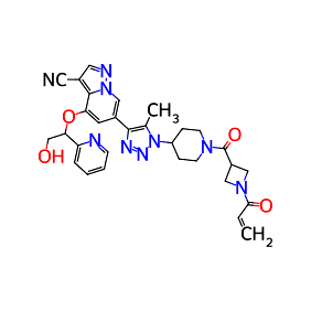 C=CC(=O)N1CC(C(=O)N2CCC(n3nnc(-c4cc(OC(CO)c5ccccn5)c5c(C#N)cnn5c4)c3C)CC2)C1